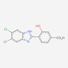 O=C(O)c1ccc(-c2nc3cc(Cl)c(Cl)cc3[nH]2)c(O)c1